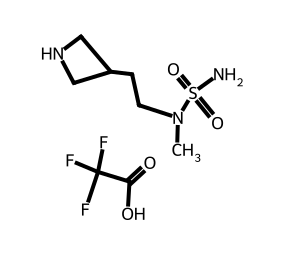 CN(CCC1CNC1)S(N)(=O)=O.O=C(O)C(F)(F)F